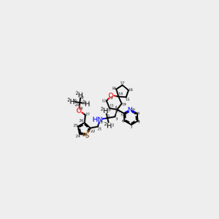 [2H]C([2H])(C[C@@]1(c2ccccn2)CCOC2(CCCC2)C1)NCc1sccc1COC([2H])([2H])[2H]